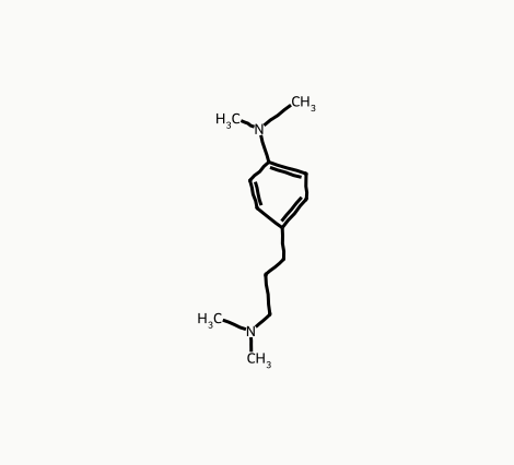 CN(C)CCCc1ccc(N(C)C)cc1